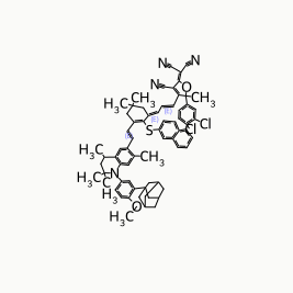 COc1ccc(N2c3cc(C)c(/C=C/C4=C(Sc5ccc6ccccc6c5)C(=C/C=C/C5=C(C#N)C(=C(C#N)C#N)OC5(C)c5ccc(Cl)c(Cl)c5)/CC(C)(C)C4)cc3C(C)CC2(C)C)cc1C12CC3CC(CC(C3)C1)C2